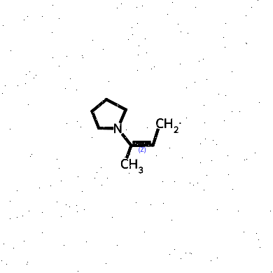 [CH2]/C=C(/C)N1CCCC1